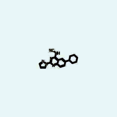 N#CNc1nc(-n2cccn2)nc2ccc(C3CCCCC3)cc12